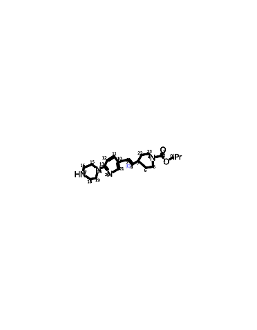 CC(C)OC(=O)N1CCC(/C=C/c2ccc(N3CCNCC3)nc2)CC1